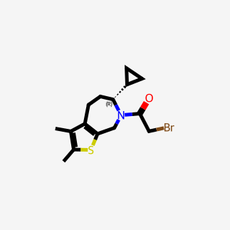 Cc1sc2c(c1C)CC[C@H](C1CC1)N(C(=O)CBr)C2